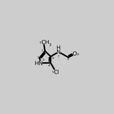 Cc1c[nH]c(Cl)c1NC=O